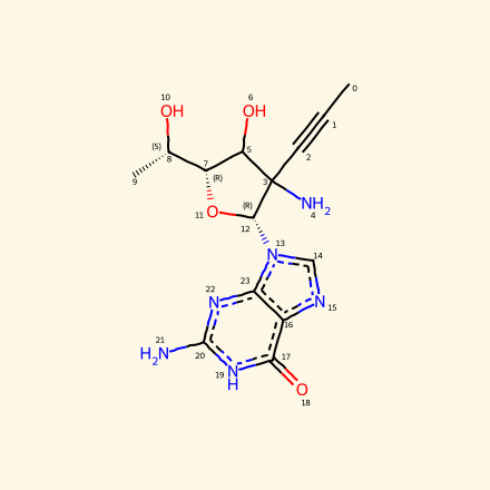 CC#CC1(N)C(O)[C@@H]([C@H](C)O)O[C@H]1n1cnc2c(=O)[nH]c(N)nc21